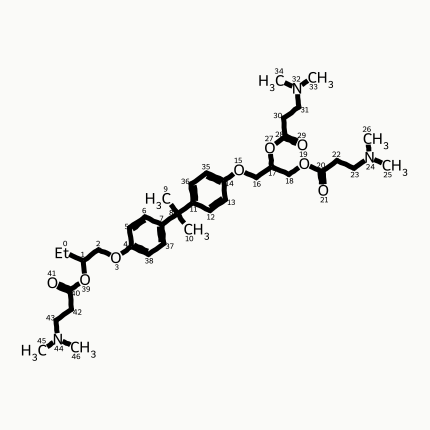 CCC(COc1ccc(C(C)(C)c2ccc(OCC(COC(=O)CCN(C)C)OC(=O)CCN(C)C)cc2)cc1)OC(=O)CCN(C)C